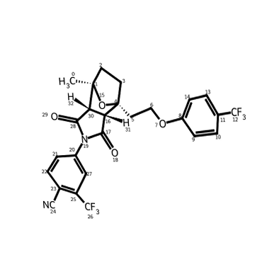 C[C@]12CC[C@](CCOc3ccc(C(F)(F)F)cc3)(O1)[C@@H]1C(=O)N(c3ccc(C#N)c(C(F)(F)F)c3)C(=O)[C@@H]12